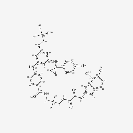 CC(C)(CNC(=O)C(=O)Nc1nc2c(Cl)c(Cl)ccc2s1)CNC(=O)c1ccc(Nc2nc(NC3(c4ccc(Cl)cc4)CC3)nc(OCC(F)(F)F)n2)cc1